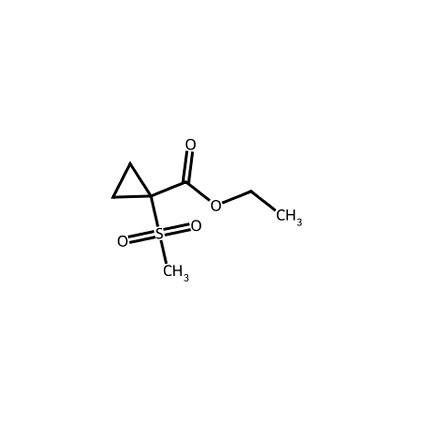 CCOC(=O)C1(S(C)(=O)=O)CC1